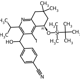 CC(C)c1nc2c(c(I)c1C(O)c1ccc(C#N)cc1)[C@H](O[Si](C)(C)C(C)(C)C)CC(C)(C)C2